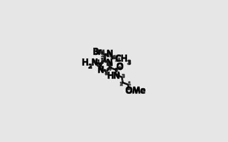 COCCCNC(=O)c1cnc(N)c2c(Br)nc(C)n12